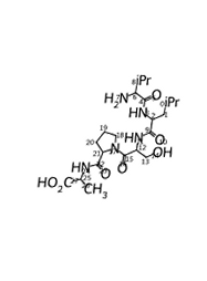 CC(C)CC(NC(=O)C(N)C(C)C)C(=O)NC(CO)C(=O)N1CCCC1C(=O)NC(C)C(=O)O